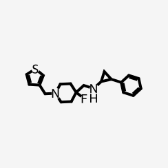 FC1(CNC2CC2c2ccccc2)CCN(Cc2ccsc2)CC1